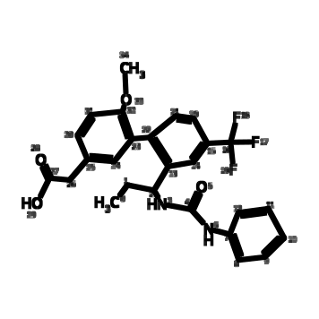 CCC(NC(=O)Nc1ccccc1)c1cc(C(F)(F)F)ccc1-c1cc(CC(=O)O)ccc1OC